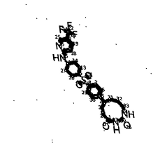 O=C1CCC(c2ccc(S(=O)(=O)[C@H]3CC[C@H](Nc4ccc(C(F)(F)F)cn4)CC3)cc2)CCCNC(=O)N1